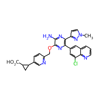 Cn1ccc(-c2nc(N)c(OCc3ccc(C4CC4C(=O)O)cn3)nc2-c2cc(Cl)c3ncccc3c2)n1